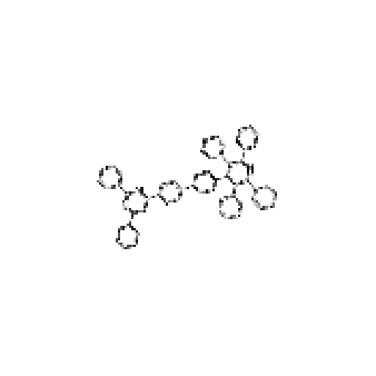 c1ccc(-c2cc(-c3ccc(-c4ccc(-c5c(-c6ccccc6)c(-c6ccccc6)nc(-c6ccccc6)c5-c5ccccc5)cc4)cc3)nc(-c3ccccc3)n2)cc1